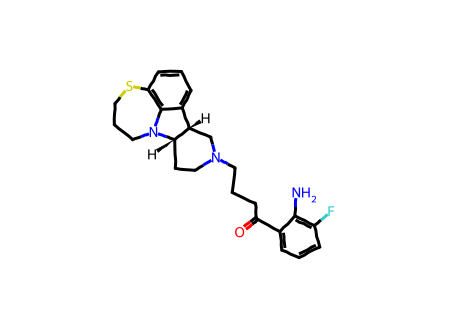 Nc1c(F)cccc1C(=O)CCCN1CC[C@H]2[C@@H](C1)c1cccc3c1N2CCCS3